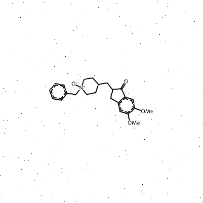 COc1cc2c(cc1OC)C(=O)C(CC1CC[N+]([O-])(Cc3ccccc3)CC1)C2